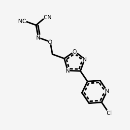 N#CC(C#N)=NOCc1nc(-c2ccc(Cl)nc2)no1